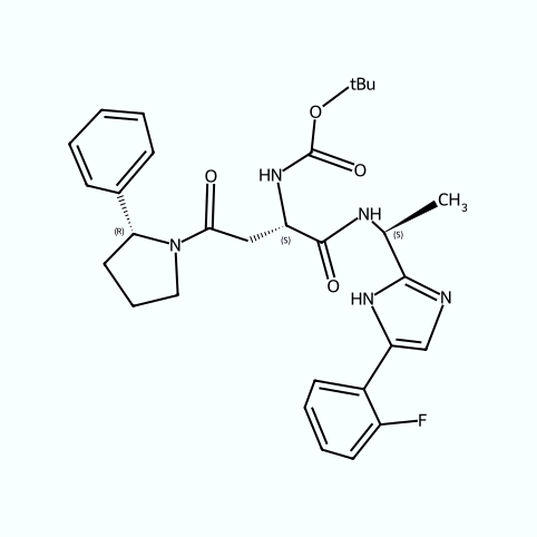 C[C@H](NC(=O)[C@H](CC(=O)N1CCC[C@@H]1c1ccccc1)NC(=O)OC(C)(C)C)c1ncc(-c2ccccc2F)[nH]1